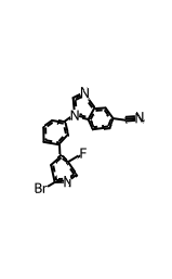 N#Cc1ccc2c(c1)ncn2-c1cccc(-c2cc(Br)ncc2F)c1